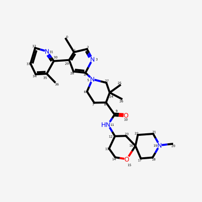 Cc1cnc(N2CCC(C(=O)NC3CCOC4(CCN(C)CC4)C3)C(C)(C)C2)cc1-c1ncccc1C